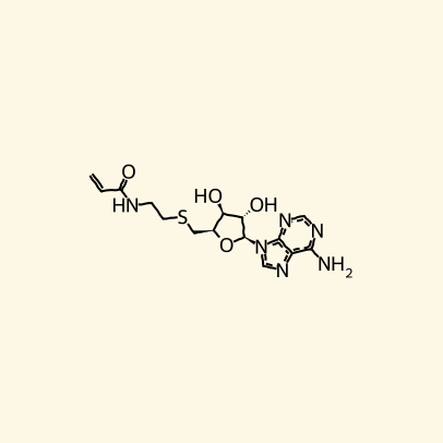 C=CC(=O)NCCSC[C@@H]1O[C@H](n2cnc3c(N)ncnc32)[C@@H](O)[C@@H]1O